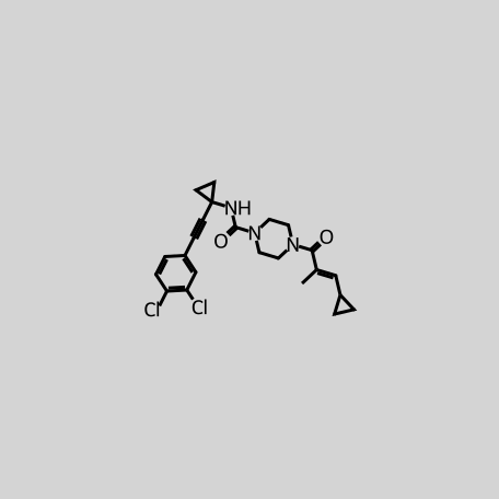 C/C(=C\C1CC1)C(=O)N1CCN(C(=O)NC2(C#Cc3ccc(Cl)c(Cl)c3)CC2)CC1